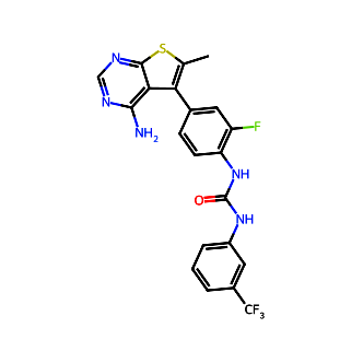 Cc1sc2ncnc(N)c2c1-c1ccc(NC(=O)Nc2cccc(C(F)(F)F)c2)c(F)c1